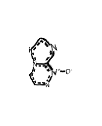 [O-][n+]1nccn2ncnc21